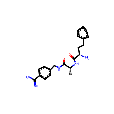 CC[C@H](NC(=O)[C@H](N)CCc1ccccc1)C(=O)NCc1ccc(C(=N)N)cc1